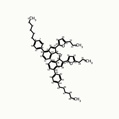 CCCCCCc1ccc(-c2cccc3c2C=C(c2ccc(CCC)o2)[CH]3[Zr][CH]2C(c3ccc(CCC)o3)=Cc3c(-c4ccc(CCCCCC)cc4)cccc32)cc1